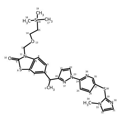 CC(c1ccc2c(c1)sc(=O)n2COCC[Si](C)(C)C)c1ccn(-c2ccc(Sc3nccn3C)cn2)n1